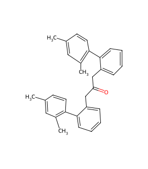 Cc1ccc(-c2ccccc2CC(=O)Cc2ccccc2-c2ccc(C)cc2C)c(C)c1